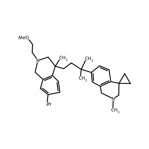 COCCN1Cc2cc(C(C)C)ccc2C(C)(CCC(C)(C)c2ccc3c(c2)CN(C)CC32CC2)C1